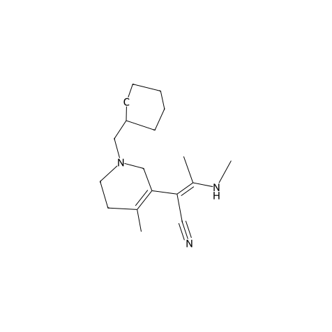 CN/C(C)=C(\C#N)C1=C(C)CCN(CC2CCCCC2)C1